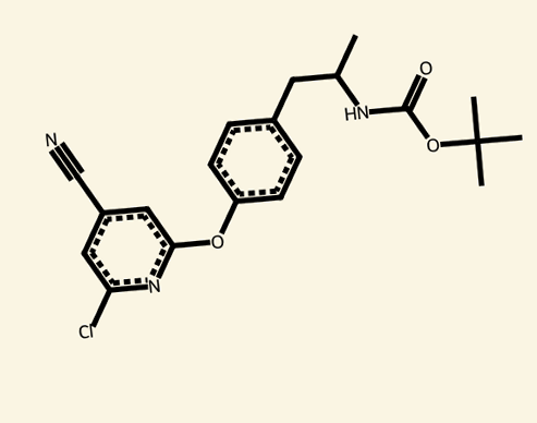 CC(Cc1ccc(Oc2cc(C#N)cc(Cl)n2)cc1)NC(=O)OC(C)(C)C